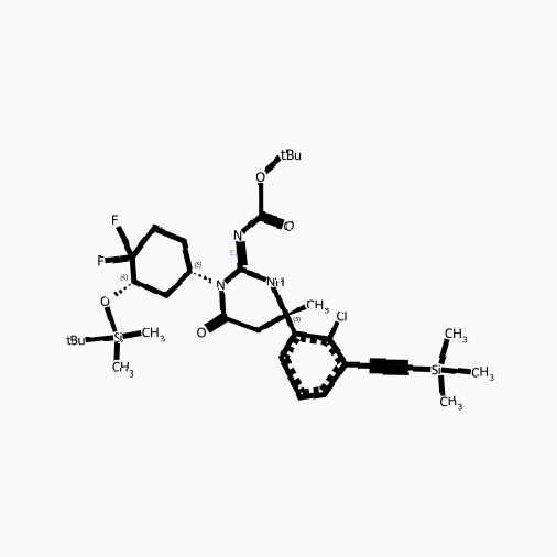 CC(C)(C)OC(=O)/N=C1\N[C@](C)(c2cccc(C#C[Si](C)(C)C)c2Cl)CC(=O)N1[C@H]1CCC(F)(F)[C@@H](O[Si](C)(C)C(C)(C)C)C1